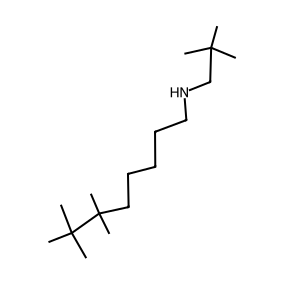 CC(C)(C)CNCCCCCC(C)(C)C(C)(C)C